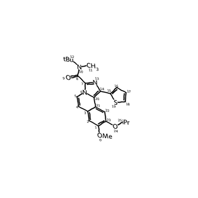 COc1cc2ccn3c(C(=O)N(C)C(C)(C)C)nc(-c4cccs4)c3c2cc1OC(C)C